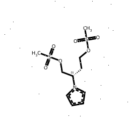 CS(=O)(=O)OCC[C@@H](COS(C)(=O)=O)n1cccc1